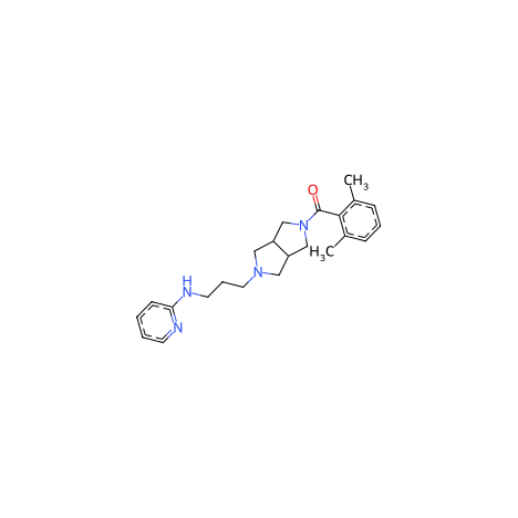 Cc1cccc(C)c1C(=O)N1CC2CN(CCCNc3ccccn3)CC2C1